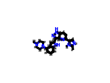 Cc1ncc(-c2ccc3[nH]nc(-c4cc5c(N6CCN(C)CC6)cccc5[nH]4)c3n2)n1C